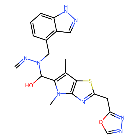 C=NN(Cc1cccc2[nH]ncc12)C(O)c1c(C)c2sc(Cc3nnco3)nc2n1C